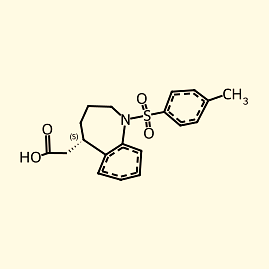 Cc1ccc(S(=O)(=O)N2CCC[C@@H](CC(=O)O)c3ccccc32)cc1